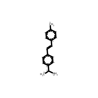 Cc1ccc(/C=C/c2ccc(C(C)N)cc2)cc1